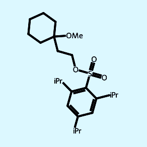 COC1(CCOS(=O)(=O)c2c(C(C)C)cc(C(C)C)cc2C(C)C)CCCCC1